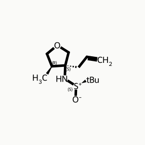 C=CC[C@@]1(N[S@+]([O-])C(C)(C)C)COC[C@@H]1C